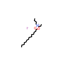 CCCCCCCCCCCCCC(=O)OC(CC)[N+](C)(C)CCCC.[I-]